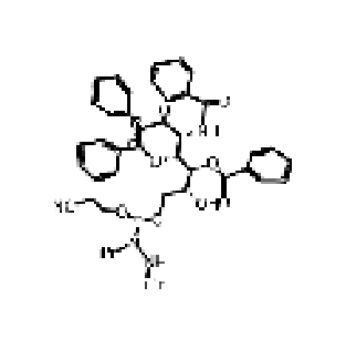 CC(C)NN(C(C)C)P(OCCC#N)OC[C@@H](O)[C@H](OC(=O)c1ccccc1)[C@H](OC(=O)c1ccccc1)[C@@H](NC(=O)c1ccccc1)C(=O)C(=O)c1ccccc1